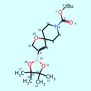 CC(C)(C)OC(=O)N1CCC2(C=C(B3OC(C)(C)C(C)(C)O3)CO2)CC1